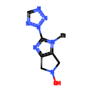 CCn1c(-n2ncnn2)nc2c1CN(O)C2